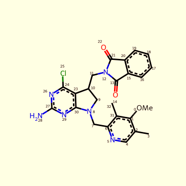 COc1c(C)cnc(CN2CC(CN3C(=O)c4ccccc4C3=O)c3c(Cl)nc(N)nc32)c1C